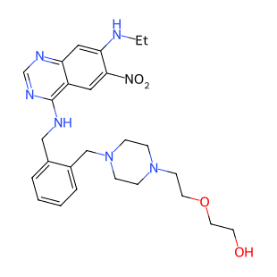 CCNc1cc2ncnc(NCc3ccccc3CN3CCN(CCOCCO)CC3)c2cc1[N+](=O)[O-]